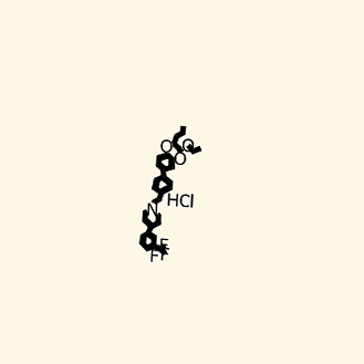 CCCC(Oc1ccc(-c2ccc(CCN3CC=C(c4cccc(C(F)(F)F)c4)CC3)cc2)cc1)C(=O)OCC.Cl